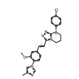 COc1cc(/C=C/c2nnc3n2CCC[C@@H]3c2ccc(Cl)cc2)ccc1-n1cnc(C)c1